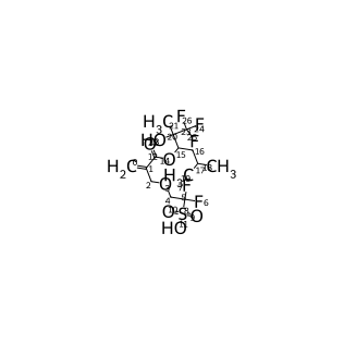 C=C(COCC(F)(F)S(=O)(=O)O)C(=O)OC(CC(C)C)C(C)(O)C(F)(F)F